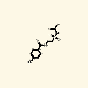 CC(C)C(=O)NS(=O)(=O)CCNC(=O)c1ccc(N)cc1